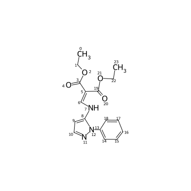 CCOC(=O)C(=CNc1ccnn1-c1ccccc1)C(=O)OCC